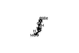 COc1ccc(CC(=O)NCc2nc3cc(C=CC(=O)NO)ccc3n2C)cc1